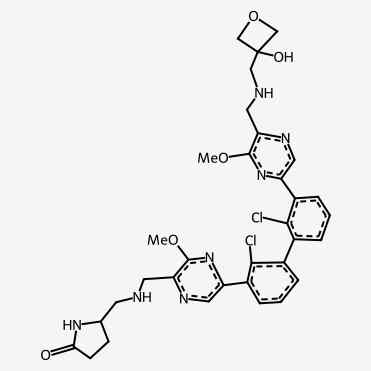 COc1nc(-c2cccc(-c3cccc(-c4cnc(CNCC5(O)COC5)c(OC)n4)c3Cl)c2Cl)cnc1CNCC1CCC(=O)N1